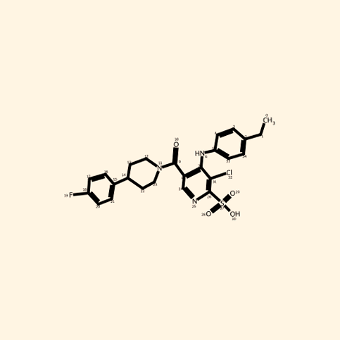 CCc1ccc(Nc2c(C(=O)N3CCC(c4ccc(F)cc4)CC3)cnc(S(=O)(=O)O)c2Cl)cc1